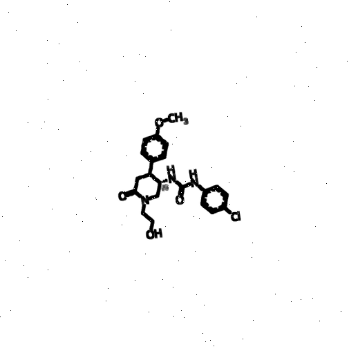 COc1ccc(C2CC(=O)N(CCO)C[C@H]2NC(=O)Nc2ccc(Cl)cc2)cc1